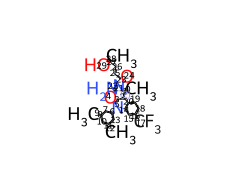 C/C(=C1/C(=O)N(c2cc(C)cc(C)c2)c2cc(C(F)(F)F)ccc21)N(N)C(=O)CCC(C)O